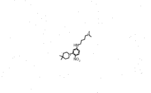 CN(C)CCCCNc1ccc([N+](=O)[O-])c(N2CCC(C)(C)CC2)c1